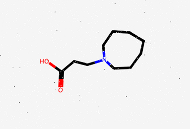 O=C(O)CCN1CCCCCCC1